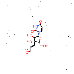 O=CC=C[C@]1(O)[C@@H](CO)O[C@@H](n2ccc(=O)[nH]c2=O)[C@@H]1O